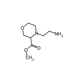 COC(=O)C1COCCN1CCN